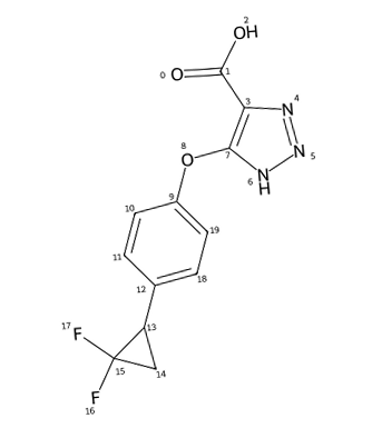 O=C(O)c1nn[nH]c1Oc1ccc(C2CC2(F)F)cc1